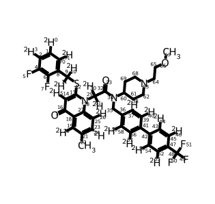 [2H]c1c([2H])c(F)c(F)c(C([2H])([2H])Sc2c([2H])c(=O)c3c([2H])c(C)c([2H])c([2H])c3n2C([2H])([2H])C(=O)N(Cc2c([2H])c([2H])c(-c3c([2H])c([2H])c(C(F)(F)F)c([2H])c3[2H])c([2H])c2[2H])C2CCN(CCOC)CC2)c1[2H]